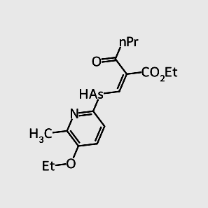 CCCC(=O)C(=C[AsH]c1ccc(OCC)c(C)n1)C(=O)OCC